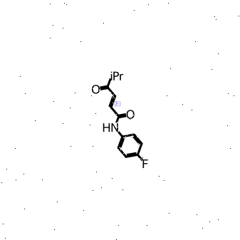 CC(C)C(=O)/C=C/C(=O)Nc1ccc(F)cc1